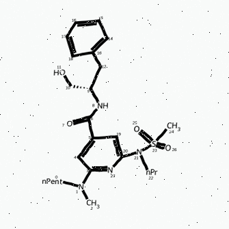 CCCCCN(C)c1cc(C(=O)N[C@H](CO)Cc2ccccc2)cc(N(CCC)S(C)(=O)=O)n1